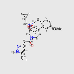 COc1ccc2c(c1)C13CCN(C(=O)Cc4cc(C(F)(F)F)n(C)n4)CCC1(O)C(C2)N(CC1CC1)CC3